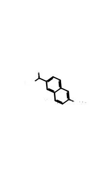 COc1ccc2cc(C(C)C(=O)O)ccc2c1.[MgH2]